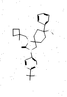 CNC1(c2ccccc2)CCC2(CC1)CN(c1cnc(C(F)(F)F)nc1)C(=O)N2CC1(O)CCC1